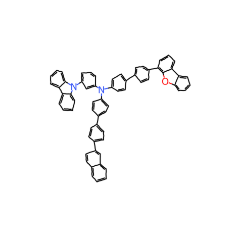 c1cc(N(c2ccc(-c3ccc(-c4ccc5ccccc5c4)cc3)cc2)c2ccc(-c3ccc(-c4cccc5c4oc4ccccc45)cc3)cc2)cc(-n2c3ccccc3c3ccccc32)c1